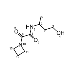 CC(CCO)NC(=O)C(=O)N1CCC1